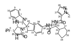 CC(C)[C@@H]1CN(C2(c3nc4ccccc4[nH]3)Cc3ccc(NC(=O)[C@@H](NC(=O)c4ccnn4C)C4CCCCC4)cc3C2)C(=O)N1